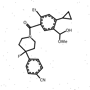 CCc1cc(C2CC2)c(C(O)OC)cc1C(=O)N1CCC(F)(c2ccc(C#N)cc2)CC1